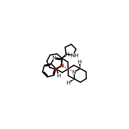 c1ccc2c(c1)nc([C@H]1CCCN1)n2[C@H]1C[C@H]2CCC[C@@H](C1)N2[C@@H]1C[C@@H]2CCCC[C@@H](C2)C1